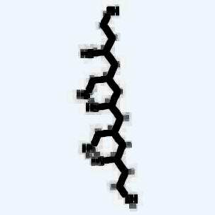 SCCC(S)CC(CS)CC(S)CC(CS)CC(S)CCS